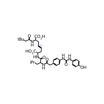 CC(C)CC(NC(=O)Cc1ccc(NC(=O)Nc2ccc(O)cc2)cc1)C(=O)NC(C/C=C/CC(NC(=O)CC(C)(C)C)C(=O)O)C(=O)O